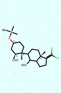 CC(C)(C)[Si](C)(C)O[C@H]1CC[C@](C)(C2CC[C@]3(C)C(=C(Cl)Cl)CCC3C2C=O)[C@@H](C=O)C1